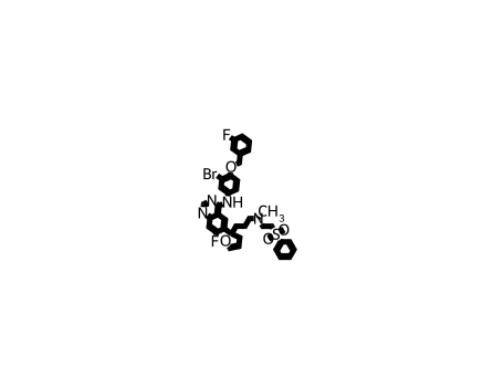 CN(CCCC1(c2cc3c(Nc4ccc(OCc5cccc(F)c5)c(Br)c4)ncnc3cc2F)CC=CO1)CCS(=O)(=O)c1ccccc1